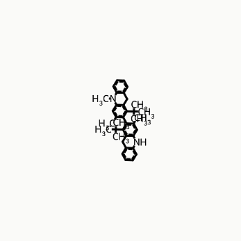 Cc1cc2c(c(C(C)(C)C)c1-c1c(C)cc3c(c1C(C)(C)C)Cc1ccccc1N3C)Cc1ccccc1N2